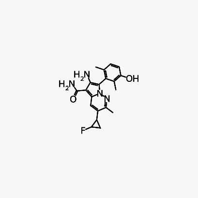 Cc1ccc(O)c(C)c1-c1c(N)c(C(N)=O)c2cc(C3CC3F)c(C)nn12